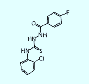 O=C(NNC(=S)Nc1ccccc1Cl)c1ccc(F)cc1